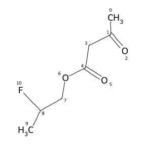 CC(=O)CC(=O)OCC(C)F